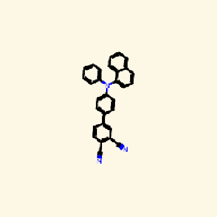 N#Cc1ccc(-c2ccc(N(c3ccccc3)c3cccc4ccccc34)cc2)cc1C#N